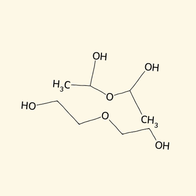 CC(O)OC(C)O.OCCOCCO